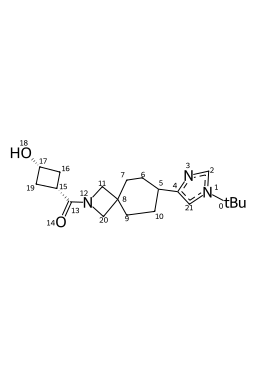 CC(C)(C)n1cnc(C2CCC3(CC2)CN(C(=O)[C@H]2C[C@@H](O)C2)C3)c1